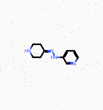 c1cncc(NN=C2CCNCC2)c1